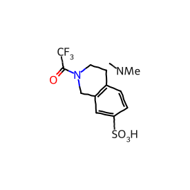 CNC.O=C(N1CCc2ccc(S(=O)(=O)O)cc2C1)C(F)(F)F